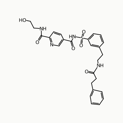 O=C(CCc1ccccc1)NCCc1cccc(S(=O)(=O)NC(=O)c2ccc(C(=O)NCCO)nc2)c1